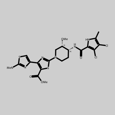 CNc1nc(-c2nc(N3CC[C@@H](NC(=O)c4[nH]c(C)c(Cl)c4Cl)[C@@H](OC)C3)sc2C(=O)OC)cs1